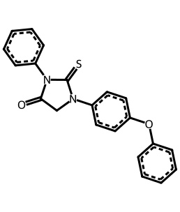 O=C1CN(c2ccc(Oc3ccccc3)cc2)C(=S)N1c1ccccc1